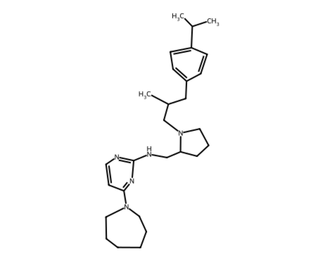 CC(Cc1ccc(C(C)C)cc1)CN1CCCC1CNc1nccc(N2CCCCCC2)n1